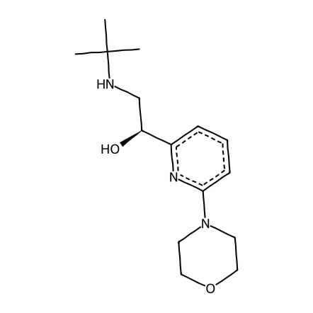 CC(C)(C)NC[C@H](O)c1cccc(N2CCOCC2)n1